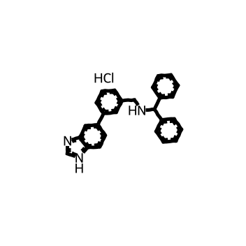 Cl.c1ccc(C(NCc2cccc(-c3ccc4[nH]cnc4c3)c2)c2ccccc2)cc1